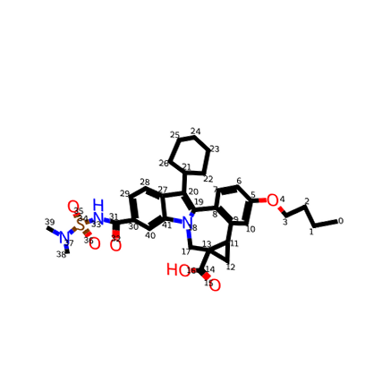 CCCCOc1ccc2c(c1)C1CC1(C(=O)O)Cn1c-2c(C2CCCCC2)c2ccc(C(=O)NS(=O)(=O)N(C)C)cc21